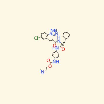 CN(C)CCOC(=O)Nc1ccc(NC(=O)[C@H](Cc2ccccc2)NC(=O)C=Cc2cc(Cl)ccc2-n2cnnn2)cc1